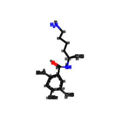 COc1cc(OC)c(C(=O)N[C@H](C=O)CCCCN)cc1C=O